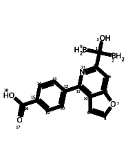 BC(B)(O)c1cc2occc2c(-c2ccc(C(=O)O)cc2)n1